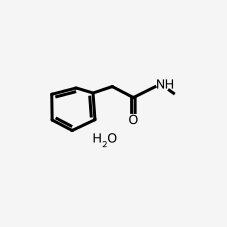 CNC(=O)Cc1ccccc1.O